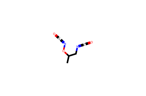 CC(CN=C=O)ON=C=O